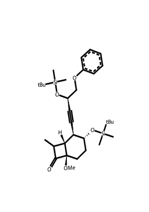 CO[C@]12CC[C@@H](O[Si](C)(C)C(C)(C)C)[C@H](C#C[C@H](COc3ccccc3)O[Si](C)(C)C(C)(C)C)[C@H]1C(C)C2=O